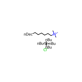 CCCCCCCCCCCCCCCC[N+](C)(C)C.CCC[CH2][Sn]([CH2]CCC)([CH2]CCC)[CH2]CCC.[Cl-]